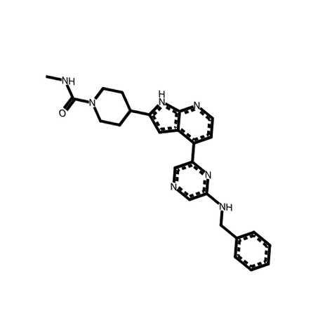 CNC(=O)N1CCC(c2cc3c(-c4cncc(NCc5ccccc5)n4)ccnc3[nH]2)CC1